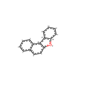 c1ccc2c(c1)ccc1oc3ccccc3c12